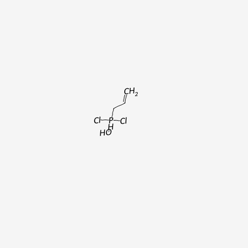 C=CC[PH](O)(Cl)Cl